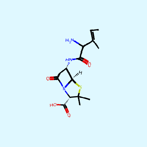 C/C=C(\C)C(N)C(=O)N[C@H]1C(=O)N2[C@@H]1SC(C)(C)[C@@H]2C(=O)O